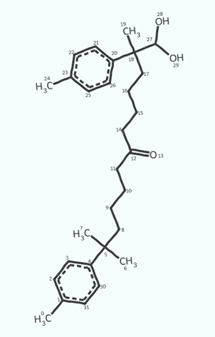 Cc1ccc(C(C)(C)CCCCC(=O)CCCCC(C)(c2ccc(C)cc2)C(O)O)cc1